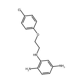 Nc1ccc(N)c(NCCOc2ccc(Cl)cc2)c1